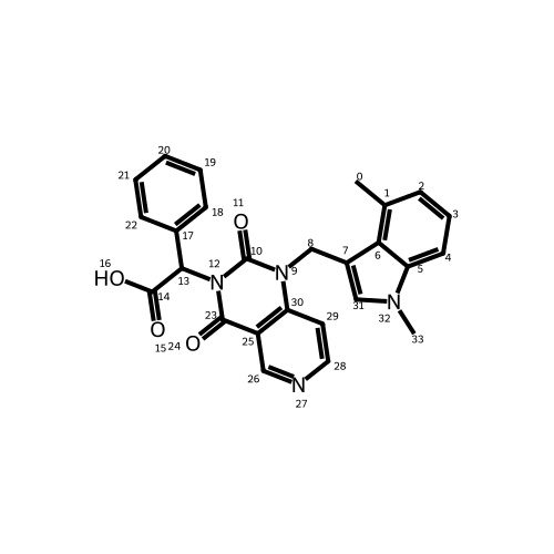 Cc1cccc2c1c(Cn1c(=O)n(C(C(=O)O)c3ccccc3)c(=O)c3cnccc31)cn2C